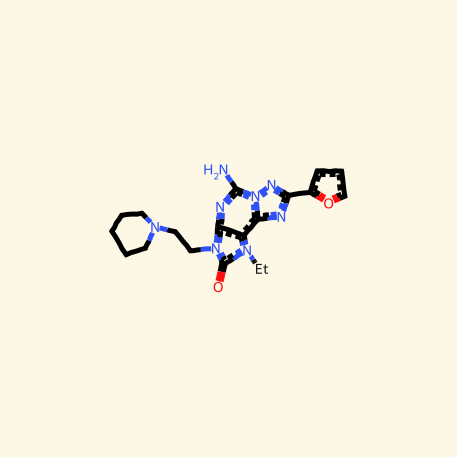 CCn1c(=O)n(CCN2CCCCC2)c2nc(N)n3nc(-c4ccco4)nc3c21